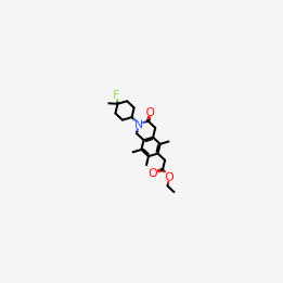 CCOC(=O)Cc1c(C)c(C)c2c(c1C)CC(=O)N(C1CCC(C)(F)CC1)C2